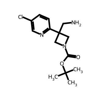 CC(C)(C)OC(=O)N1CC(CN)(c2ccc(Cl)cn2)C1